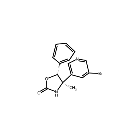 C[C@]1(c2cncc(Br)c2)NC(=O)O[C@@H]1c1ccccc1